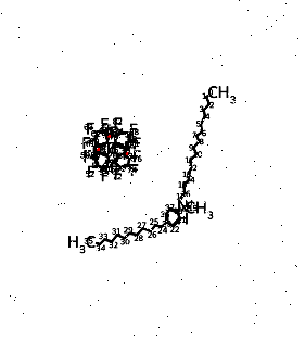 CCCCCCCCCCCCCCCCCC[NH+](C)c1ccc(CCCCCCCCCCCC)cc1.Fc1c(F)c(F)c([B-](c2c(F)c(F)c(F)c(F)c2F)(c2c(F)c(F)c(F)c(F)c2F)c2c(F)c(F)c(F)c(F)c2F)c(F)c1F